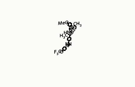 COc1ccc(N2/C(=N/C(=O)NC(C)C(F)c3ccc(-c4ncn(-c5ccc(OC(F)(F)F)cc5)n4)cc3)SCCC2C)c(C(C)C)c1